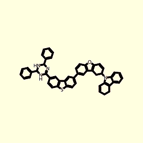 C1=Cc2c(c3ccccc3n2C2C=Cc3oc4ccc(-c5ccc6sc7ccc(C8=NC(c9ccccc9)NC(c9ccccc9)N8)cc7c6c5)cc4c3C2)CC1